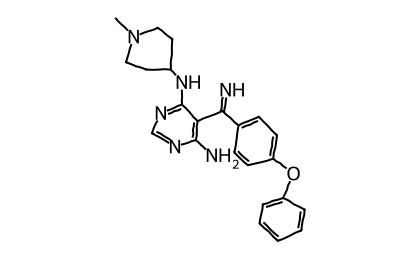 CN1CCC(Nc2ncnc(N)c2C(=N)c2ccc(Oc3ccccc3)cc2)CC1